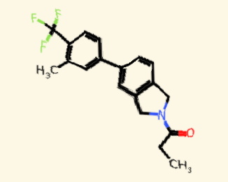 CCC(=O)N1Cc2ccc(-c3ccc(C(F)(F)F)c(C)c3)cc2C1